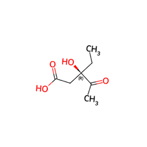 CC[C@@](O)(CC(=O)O)C(C)=O